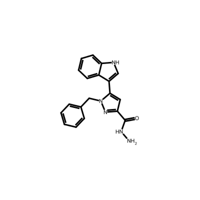 NNC(=O)c1cc(-c2c[nH]c3ccccc23)n(Cc2ccccc2)n1